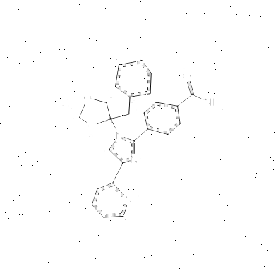 NC(=O)c1ccc(-c2nc(-c3ccccn3)cn2C2(Cc3ccccc3)COCO2)cc1.O